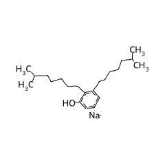 CC(C)CCCCCc1cccc(O)c1CCCCCC(C)C.[Na]